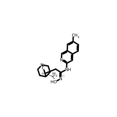 Cc1ccc2cc(N/C(C[C@]3(C)CN4CCC3CC4)=N/O)ncc2c1